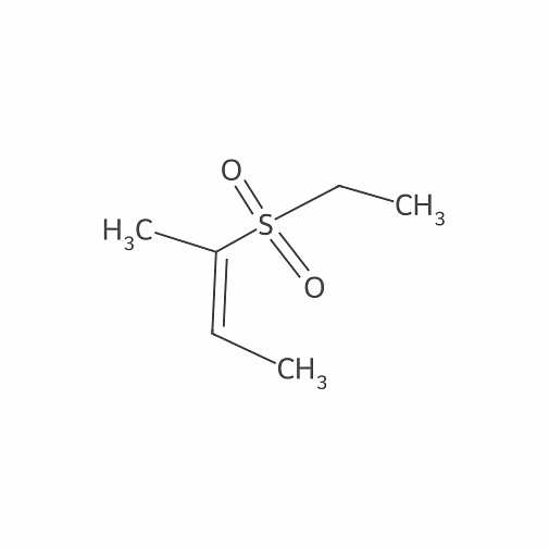 CC=C(C)S(=O)(=O)CC